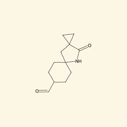 O=CC1CCC2(CC1)CC1(CC1)C(=O)N2